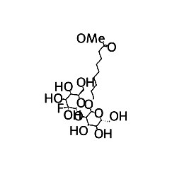 COC(=O)CCCCCCCCO[C@H]1O[C@H](CO)[C@@H](O)[C@H](O)[C@H]1O[C@H]1O[C@H](CO)[C@@H](O)[C@H](O)[C@]1(O)F